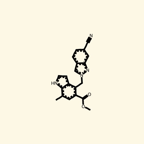 COC(=O)c1cc(C)c2[nH]ccc2c1Cn1cc2ccc(C#N)cc2n1